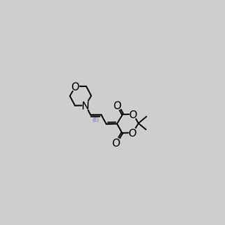 CC1(C)OC(=O)C(=C/C=C/N2CCOCC2)C(=O)O1